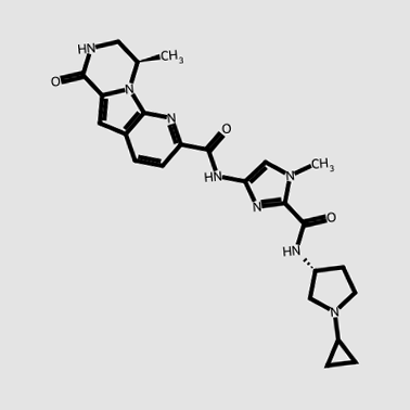 C[C@@H]1CNC(=O)c2cc3ccc(C(=O)Nc4cn(C)c(C(=O)N[C@@H]5CCN(C6CC6)C5)n4)nc3n21